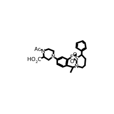 CC(=O)N1CCN(c2ccc(C(C)N3CCCC(c4ccccc4)S3(=O)=O)c(F)c2)CC1C(=O)O